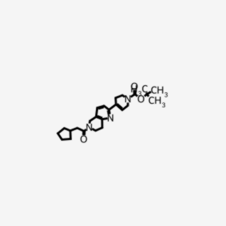 CC(C)(C)OC(=O)N1CC=C(c2ccc3c(n2)CCN(C(=O)CC2CCCC2)C3)CC1